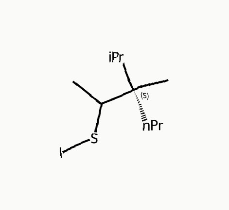 CCC[C@@](C)(C(C)C)C(C)SI